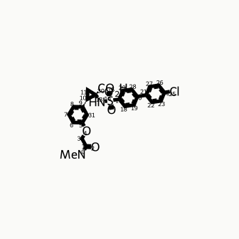 CNC(=O)COc1cccc([C@@H]2C[C@]2(NS(=O)(=O)c2ccc(-c3ccc(Cl)cc3)cc2)C(=O)O)c1